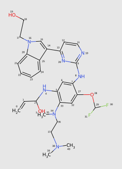 C=CC(O)Nc1cc(Nc2nccc(-c3cn(CCO)c4ccccc34)n2)c(OC(F)F)cc1N(C)CCN(C)C